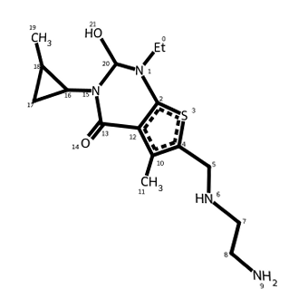 CCN1c2sc(CNCCN)c(C)c2C(=O)N(C2CC2C)C1O